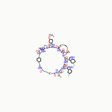 COc1ccc(C[C@@H]2NC(=O)[C@@H]3CCC/C=C\CO[C@H]4C[C@@H](C(=O)N3)N(C4)C(=O)[C@H](Cc3c[nH]c4ccc(F)cc34)NC(=O)[C@H](Cc3c[nH]c4ccc(F)cc34)NC(=O)[C@H](C)NC(=O)CCCCCC(=O)NCc3ccc(cc3)C[C@@H](C(N)=O)NC(=O)[C@]3(C)CCCN3C2=O)cc1